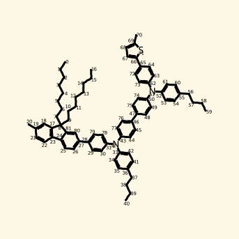 CCCCCCCCC1(CCCCCCCC)c2cc(C)ccc2-c2ccc(-c3ccc(N(c4ccc(CCCC)cc4)c4ccc(-c5ccc(N(c6ccc(CCCC)cc6)c6ccc(-c7ccc(C)s7)cc6)cc5)cc4)cc3)cc21